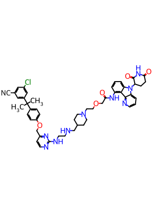 CC(C)(c1ccc(OCc2ccnc(NCCNCC3CCN(CCOCC(=O)Nc4cccc5c4c4ncccc4n5C4CCC(=O)NC4=O)CC3)n2)cc1)c1cc(Cl)cc(C#N)c1